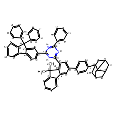 CC1(C)c2ccccc2-c2cc(-c3ccc(C45CC6CC(CC(C6)C4)C5)cc3)cc(-c3nc(-c4ccccc4)nc(-c4ccc5c(c4)C(c4ccccc4)(c4ccccc4)c4ccccc4-5)n3)c21